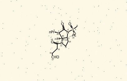 CCC[C@H]1C(=O)N(S(C)(=O)=O)[C@H]2CCN(C(=O)CCC=O)[C@H]12